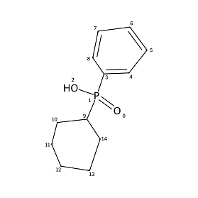 O=P(O)(c1ccccc1)C1CCCCC1